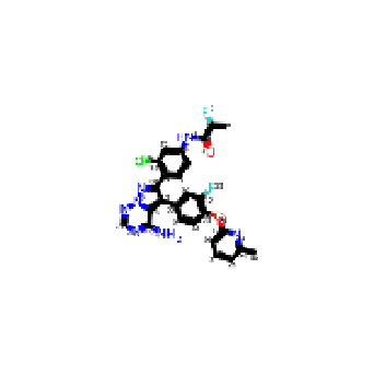 C=C(F)C(=O)Nc1ccc(-c2nn3ncnc(N)c3c2-c2ccc(Oc3cccc(C)n3)c(F)c2)c(Cl)c1